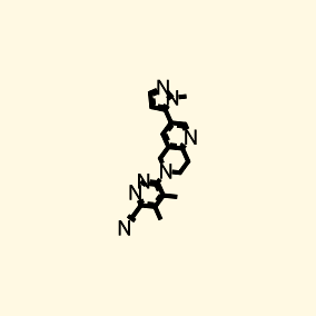 Cc1c(C#N)nnc(N2CCc3ncc(-c4ccnn4C)cc3C2)c1C